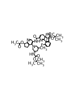 CC(=O)OC1CCc2c1ncc(NC(=O)C1=CCC(F)(NC(=O)OC(C)(C)C)C(c3c(F)cccc3F)=N1)c2N1C[C@H](C)C[C@H](NC(=O)OC(C)(C)C)C1